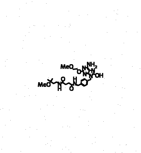 COCCOc1nc(N)c2nc(O)n(Cc3ccc(CNC(=O)CCC(=O)NCCC(C)(C)OC)cc3)c2n1